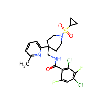 Cc1cccc(C2(CNC(=O)c3c(F)cc(Cl)c(F)c3Cl)CCN(S(=O)(=O)C3CC3)CC2)n1